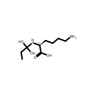 CCC(O)(O)N[C@@H](CCCCN)C(=O)O